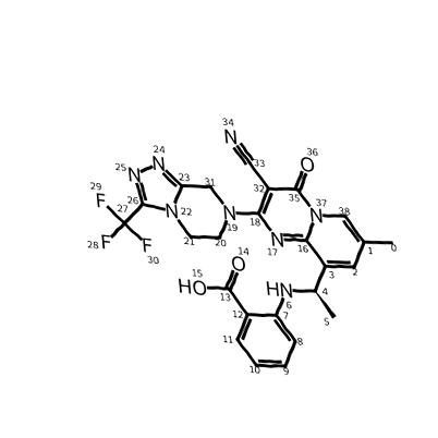 Cc1cc([C@@H](C)Nc2ccccc2C(=O)O)c2nc(N3CCn4c(nnc4C(F)(F)F)C3)c(C#N)c(=O)n2c1